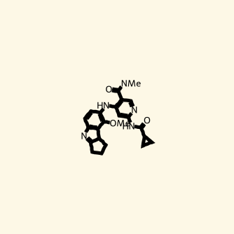 CNC(=O)c1cnc(NC(=O)C2CC2)cc1Nc1ccc2c(c1OC)C1CCCC1=N2